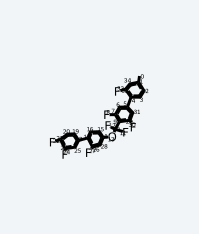 Cc1ccc(-c2cc(F)c(C(F)(F)Oc3ccc(-c4ccc(F)c(F)c4)c(F)c3)c(F)c2)c(F)c1